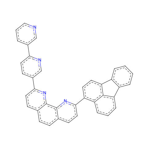 c1cncc(-c2ccc(-c3ccc4ccc5ccc(-c6ccc7c8c(cccc68)-c6ccccc6-7)nc5c4n3)cn2)c1